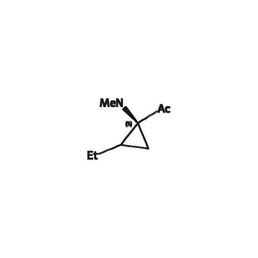 CCC1C[C@@]1(NC)C(C)=O